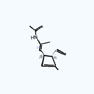 C=C[C@@H]1C(C)=C[C@H]1/C=C(\C)NC(=C)C